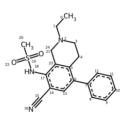 CCN1CCc2c(-c3ccccc3)cc(C#N)c(NS(C)(=O)=O)c2C1